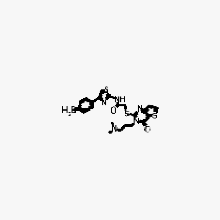 Bc1ccc(-c2csc(NC(=O)CSc3nc4ccsc4c(=O)n3CCCN(C)C)n2)cc1